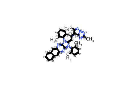 Cc1nc2/c(=C\C=C3N(c4c(C)cccc4C)c4nc5cc6ccccc6cc5nc4N3c3c(C)cccc3C)c(C)nn2n1